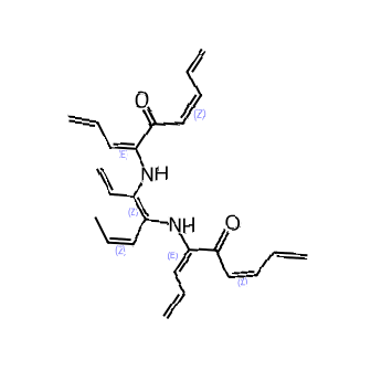 C=C/C=C\C(=O)/C(=C\C=C)N/C(C=C)=C(/C=C\C)N/C(=C/C=C)C(=O)/C=C\C=C